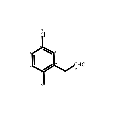 Cc1ccc(Cl)cc1CC=O